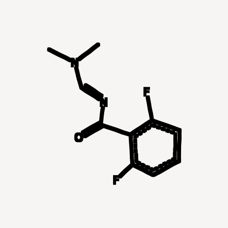 CN(C)C=NC(=O)c1c(F)cccc1F